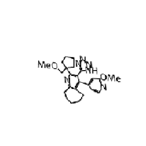 COCC1(c2nc3c(c(-c4ccnc(OC)c4)c2-c2nnn[nH]2)CCCCC3)CCCC1